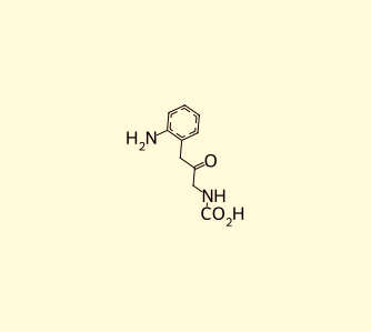 Nc1ccccc1CC(=O)CNC(=O)O